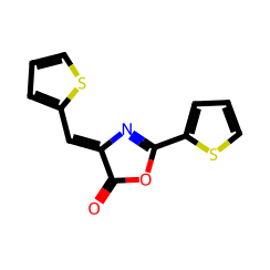 O=C1OC(c2cccs2)=NC1=Cc1cccs1